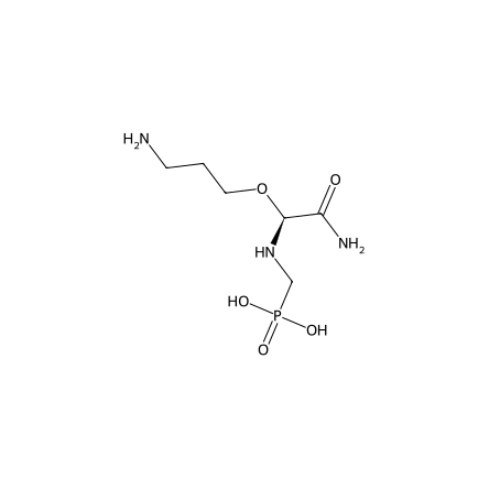 NCCCO[C@H](NCP(=O)(O)O)C(N)=O